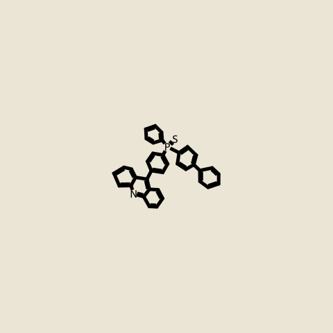 S=P(c1ccccc1)(c1ccc(-c2ccccc2)cc1)c1ccc(-c2c3ccccc3nc3ccccc23)cc1